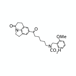 COc1ccccc1CN(CCCCCC(=O)c1cc2c3c(c1)CCN3C(=O)CC2)C(=O)O